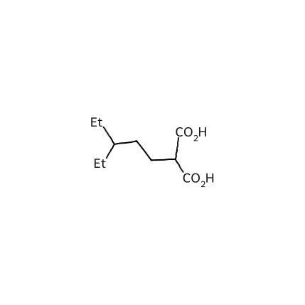 CCC(CC)CCC(C(=O)O)C(=O)O